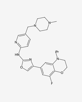 CC(C)N1CCOc2c(F)cc(-c3coc(Nc4ccc(CN5CCN(C)CC5)cn4)n3)cc21